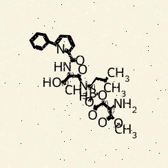 COC(=O)[C@H](N)[C@H]1OB([C@H](CC(C)C)NC(=O)[C@@H](NC(=O)c2cccc(-c3ccccc3)n2)[C@@H](C)O)OC1=O